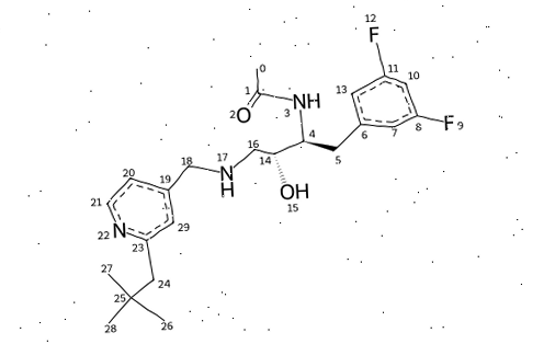 CC(=O)N[C@@H](Cc1cc(F)cc(F)c1)[C@H](O)CNCc1ccnc(CC(C)(C)C)c1